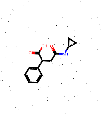 O=C(CC(C(=O)O)c1ccccc1)NC1CC1